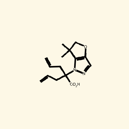 C=CCC(CC=C)(C(=O)O)n1ncc2c1C(C)(C)CO2